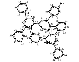 Fc1ccc(-c2cc(-c3nc(-c4ccccc4)nc(-c4ccccc4)n3)ccc2-c2ccccc2C2N=C(c3ccccc3)NC(c3ccccc3)N2)cc1